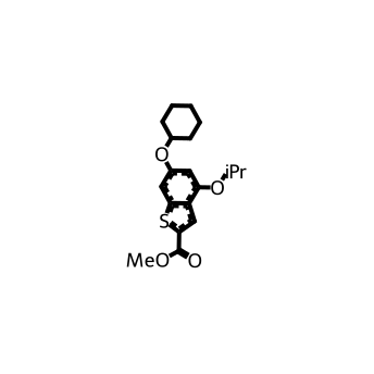 COC(=O)c1cc2c(OC(C)C)cc(OC3CCCCC3)cc2s1